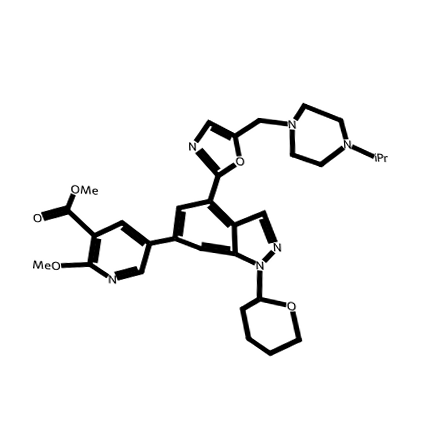 COC(=O)c1cc(-c2cc(-c3ncc(CN4CCN(C(C)C)CC4)o3)c3cnn(C4CCCCO4)c3c2)cnc1OC